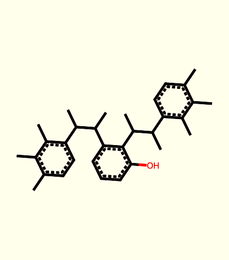 Cc1ccc(C(C)C(C)c2cccc(O)c2C(C)C(C)c2ccc(C)c(C)c2C)c(C)c1C